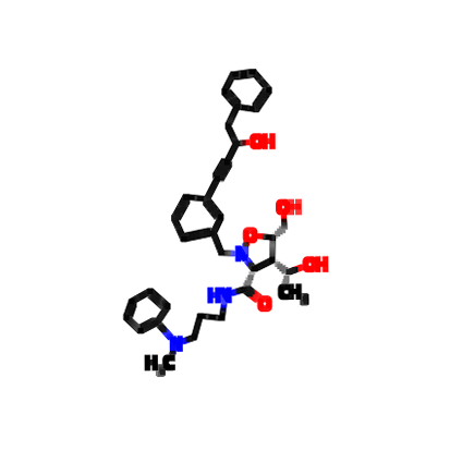 C[C@@H](O)[C@H]1[C@@H](CO)ON(Cc2cccc(C#CC(O)Cc3ccccc3)c2)[C@H]1C(=O)NCCCN(C)c1ccccc1